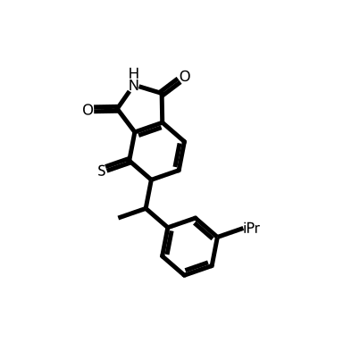 CC(C)c1cccc(C(C)C2C=CC3=C(C(=O)NC3=O)C2=S)c1